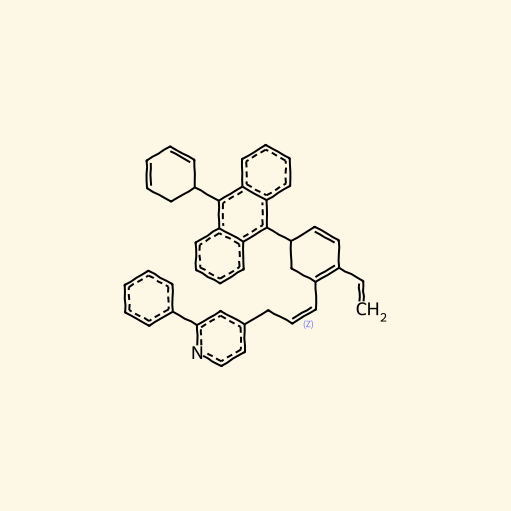 C=CC1=C(/C=C\Cc2ccnc(-c3ccccc3)c2)CC(c2c3ccccc3c(C3C=CC=CC3)c3ccccc23)C=C1